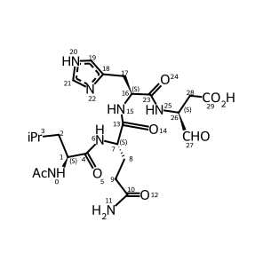 CC(=O)N[C@@H](CC(C)C)C(=O)N[C@@H](CCC(N)=O)C(=O)N[C@@H](Cc1c[nH]cn1)C(=O)N[C@H](C=O)CC(=O)O